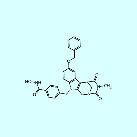 CN1C(=O)C2CN(Cc3c2c2cc(OCc4ccccc4)ccc2n3Cc2ccc(C(=O)NO)cc2)C1=O